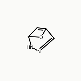 C1=NN[C]2C=C1O2